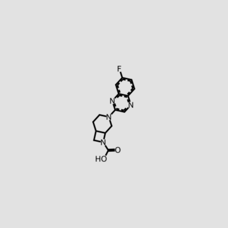 O=C(O)N1CC2CCN(c3cnc4ccc(F)cc4n3)CC21